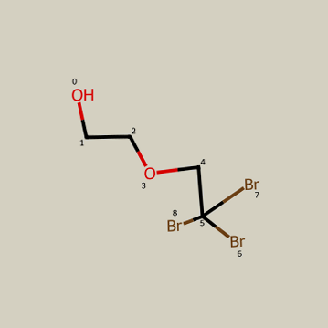 OCCOCC(Br)(Br)Br